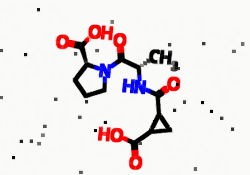 C[C@H](NC(=O)C1CC1C(=O)O)C(=O)N1CCC[C@H]1C(=O)O